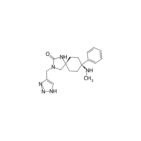 CN[C@]1(c2ccccc2)CC[C@@]2(CC1)CN(Cc1c[nH]nn1)C(=O)N2